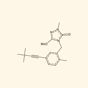 COc1nn(C)c(=O)n1Cc1cc(C#CS(C)(C)C)ccc1C